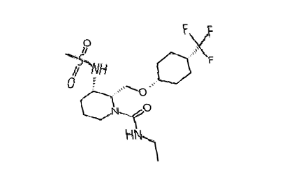 CCNC(=O)N1CCC[C@H](NS(C)(=O)=O)[C@@H]1CO[C@H]1CC[C@@H](C(F)(F)F)CC1